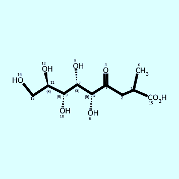 CC(CC(=O)[C@H](O)[C@@H](O)[C@H](O)[C@H](O)CO)C(=O)O